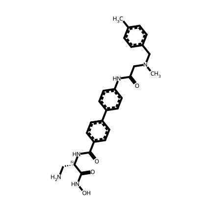 Cc1ccc(CN(C)CC(=O)Nc2ccc(-c3ccc(C(=O)N[C@@H](CN)C(=O)NO)cc3)cc2)cc1